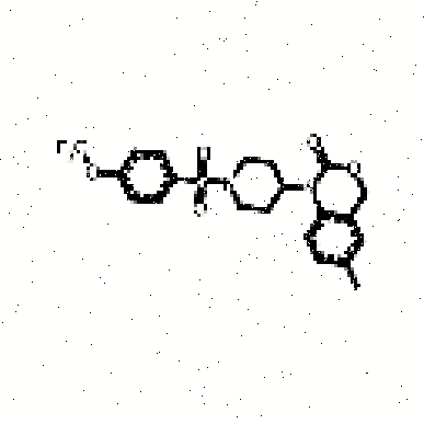 Cc1ccc2c(c1)COC(=O)N2C1CCN(S(=O)(=O)c2ccc(OC(F)(F)F)cc2)CC1